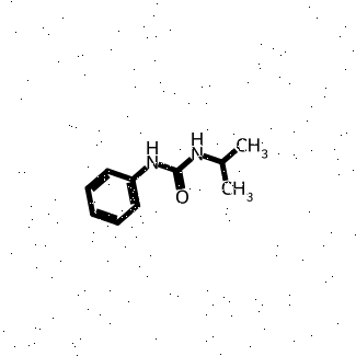 CC(C)NC(=O)Nc1ccccc1